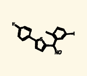 Cc1ccc(I)cc1C(N=O)c1ccc(-c2ccc(F)cc2)s1